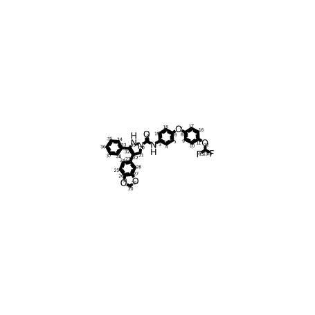 O=C(Nc1ccc(Oc2ccc(OC(F)F)cc2)cc1)N1CC(c2ccc3c(c2)OCO3)=C(c2ccccc2)N1